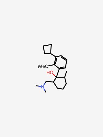 COc1c(C2CCC2)cccc1C1(O)C(C)CCCC1CN(C)C